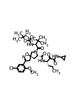 CCC[C@H](NC(=O)[C@@H]1C[C@]2(CC(c3cc(Cl)ccc3OC)=NO2)CN1C(=O)[C@@H](NC(=O)OC(C)(C)C)C(C)(C)C)C(=O)C(=O)NC1CC1